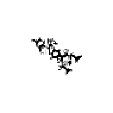 Cc1cnc(Nc2nncn2[C@H]2CCc3sc(NC(=O)C4CC4)c(C(=O)NCC4CC4)c3C2)c(C)n1